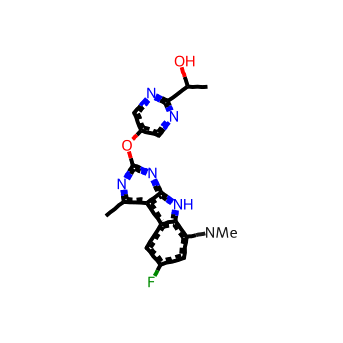 CNc1cc(F)cc2c1[nH]c1nc(Oc3cnc(C(C)O)nc3)nc(C)c12